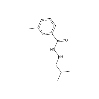 Cc1cccc(C(=O)NNCC(C)C)c1